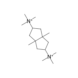 CC12CC([N+](C)(C)C)CC1(C)CC([N+](C)(C)C)C2